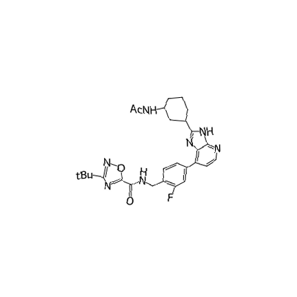 CC(=O)NC1CCCC(c2nc3c(-c4ccc(CNC(=O)c5nc(C(C)(C)C)no5)c(F)c4)ccnc3[nH]2)C1